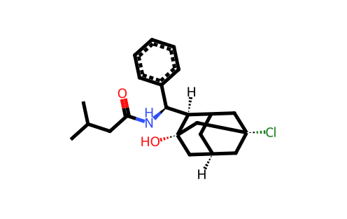 CC(C)CC(=O)N[C@@H](c1ccccc1)[C@H]1C2C[C@H]3C[C@](Cl)(C2)C[C@@]1(O)C3